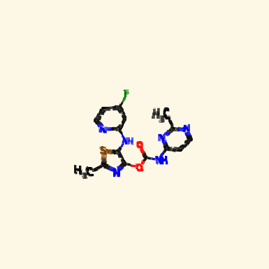 Cc1nccc(NC(=O)Oc2nc(C)sc2Nc2cc(F)ccn2)n1